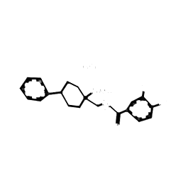 CNC1(CNC(=O)c2ccc(Cl)c(Cl)c2)CCC(c2ccccc2)CC1.Cl